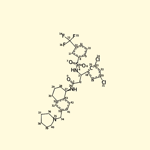 O=C(CC(NS(=O)(=O)c1cccc(C(F)(F)F)c1)c1cc(Cl)cc(Cl)c1)N[C@@H]1CCCc2cc(CN3CCCCC3)ccc21